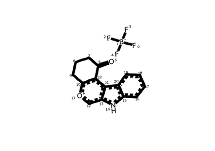 F[B-](F)(F)F.O=C1CCCc2[o+]cc3[nH]c4ccccc4c3c21